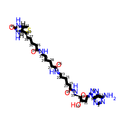 Nc1ncnc2c1nnn2C1C[C@H](O)[C@@H](CNC(=O)CCCCCNC(=O)CCCCCNC(=O)CCCC[C@@H]2SC[C@@H]3NC(=O)N[C@@H]32)O1